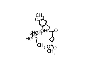 CCCP(=O)(O)O.COC(=O)C12CC(C(=O)NCc3ccc(OC)cc3OC)(C1)C2